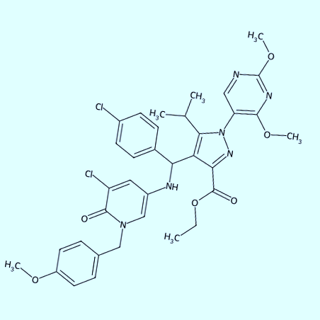 CCOC(=O)c1nn(-c2cnc(OC)nc2OC)c(C(C)C)c1C(Nc1cc(Cl)c(=O)n(Cc2ccc(OC)cc2)c1)c1ccc(Cl)cc1